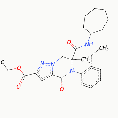 CCOC(=O)c1cc2n(n1)CC(C)(C(=O)NC1CCCCCC1)N(c1ccccc1CC)C2=O